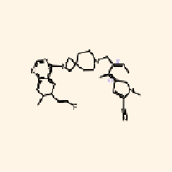 C/C=C(CN1CCC2(CC1)CN(c1ncnc3c1=CC(CCF)C(C)C=3)C2)\C(C)=C1\C=C(C#N)N(C)C1